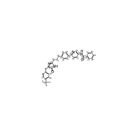 CC(C)(C)c1ccc(Cn2nc(CCCc3ccc(-c4ccc(N[S+]([O-])c5ccccc5)cn4)cc3)[nH]c2=O)cc1